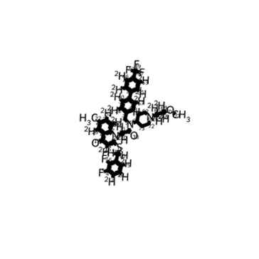 [2H]c1c([2H])c(F)c(F)c(C([2H])([2H])Sc2c([2H])c(=O)c3c([2H])c(C)c([2H])c([2H])c3n2C([2H])([2H])C(=O)N(Cc2c([2H])c([2H])c(-c3c([2H])c([2H])c(C(F)(F)F)c([2H])c3[2H])c([2H])c2[2H])C2CCN(C([2H])([2H])C([2H])([2H])OC)CC2)c1[2H]